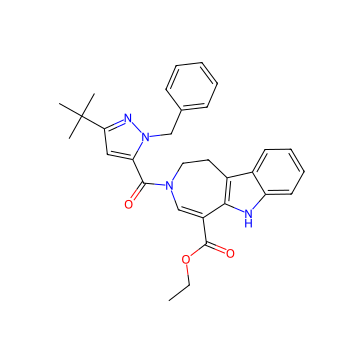 CCOC(=O)C1=CN(C(=O)c2cc(C(C)(C)C)nn2Cc2ccccc2)CCc2c1[nH]c1ccccc21